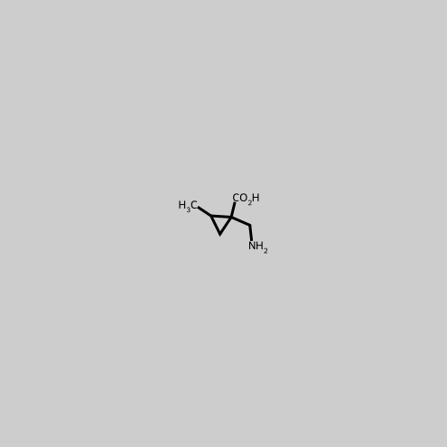 CC1CC1(CN)C(=O)O